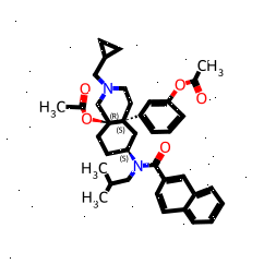 CC(=O)Oc1cccc([C@@]23CCN(CC4CC4)C[C@@]2(OC(C)=O)CC[C@H](N(CC(C)C)C(=O)c2ccc4ccccc4c2)C3)c1